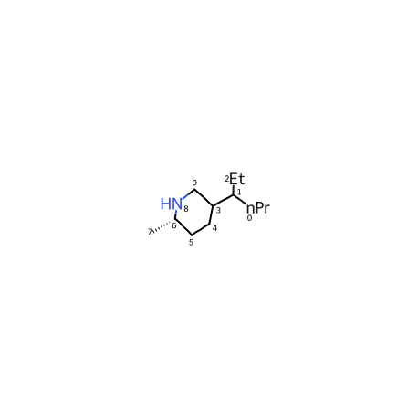 CCCC(CC)C1CC[C@H](C)NC1